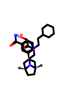 NC(=O)c1cccc([C@H]2C[C@H]3CC[C@@H](C2)N3CCN(CCC2CCCCC2)C(=O)CO)c1